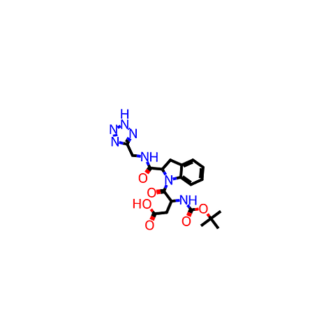 CC(C)(C)OC(=O)NC(CC(=O)O)C(=O)N1c2ccccc2CC1C(=O)NCc1nn[nH]n1